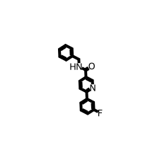 O=C(NCc1ccccc1)c1ccc(-c2cccc(F)c2)nc1